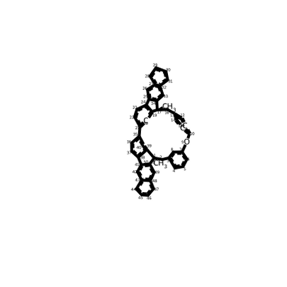 C[C@]12Cc3cccc(c3)Oc3ccc(cc3)C[C@]3(C)c4cc(ccc4-c4cc5ccccc5cc43)-c3ccc(c1c3)-c1cc3ccccc3cc12